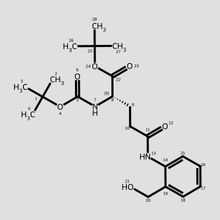 CC(C)(C)OC(=O)N[C@@H](CCC(=O)Nc1ccccc1CO)C(=O)OC(C)(C)C